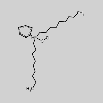 CCCCCCCCC[PH](CCCCCCCCC)(SCl)c1ccccc1